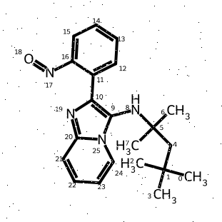 CC(C)(C)CC(C)(C)Nc1c(-c2ccccc2N=O)nc2ccccn12